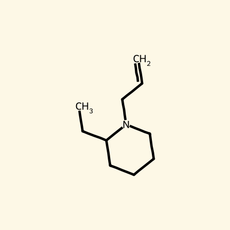 C=CCN1CCCCC1CC